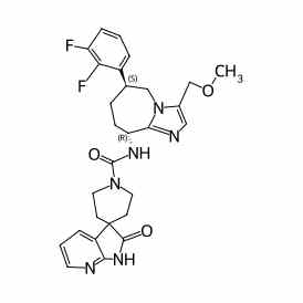 COCc1cnc2n1C[C@H](c1cccc(F)c1F)CC[C@H]2NC(=O)N1CCC2(CC1)C(=O)Nc1ncccc12